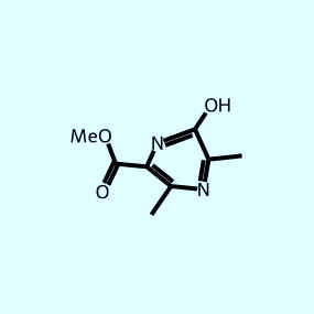 COC(=O)c1nc(O)c(C)nc1C